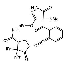 CCCC1(C(C)C)C(=O)CCN1C(N)=O.CCCOC(=O)C(NC)(C(N)=O)C(=O)C1C=CC=CC1=C=O